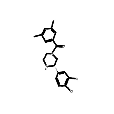 Cc1cc(C)cc(C(=O)N2CCN[C@@H](c3ccc(Cl)c(Cl)c3)C2)c1